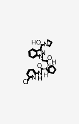 O=C(Nc1cccc(Cl)n1)[C@@H]1[C@H]2CC[C@H](C2)N1C(=O)Cn1nc(C(O)N2CCC2)c2ccccc21